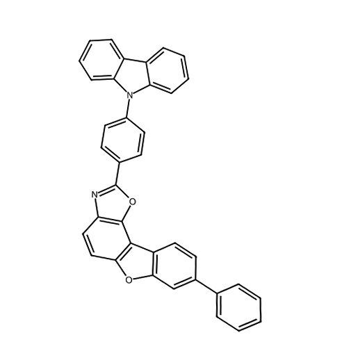 c1ccc(-c2ccc3c(c2)oc2ccc4nc(-c5ccc(-n6c7ccccc7c7ccccc76)cc5)oc4c23)cc1